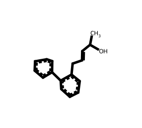 CC(O)C=CCc1ccccc1-c1ccccc1